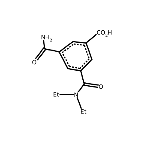 CCN(CC)C(=O)c1cc(C(N)=O)cc(C(=O)O)c1